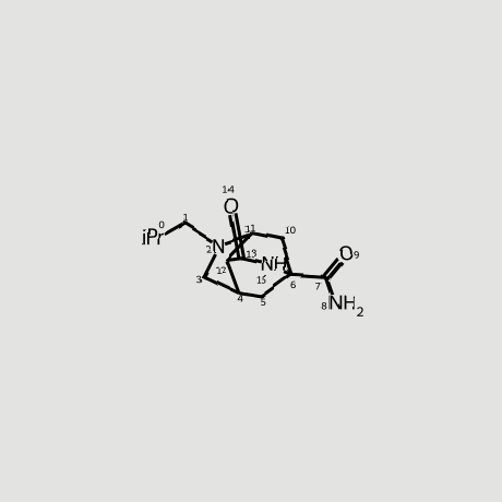 CC(C)CN1CC2CC3(C(N)=O)CC1C2C(=O)N3